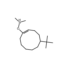 C[SiH](C)OC1=CCCC(C(C)(C)C)CCCCC1